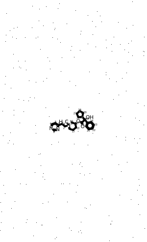 C[N+]1(CCc2ccncn2)CCCC(OC(=O)[C@](O)(c2ccccc2)C2CCCC2)C1